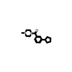 CN1CCN(C(=O)c2cccc(C3CCCC3)c2)CC1